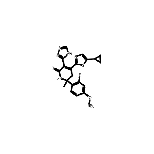 CCCCOc1ccc(C2(C)CC(c3ncc(C4CC4)s3)=C(c3nnc[nH]3)C(=O)N2)c(F)c1